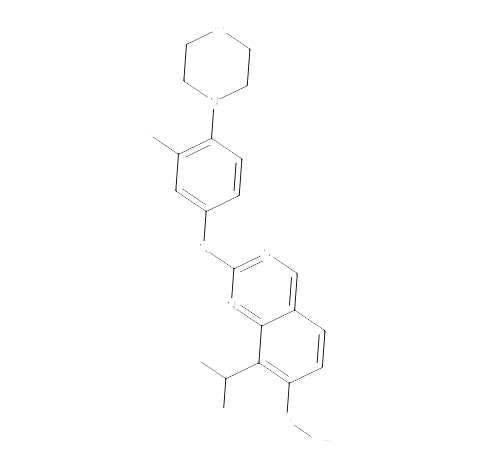 COc1ccc2cnc(Nc3ccc(N4CCOCC4)c(F)c3)nc2c1C(C)C